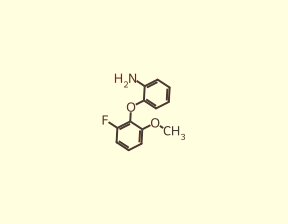 COc1cccc(F)c1Oc1ccccc1N